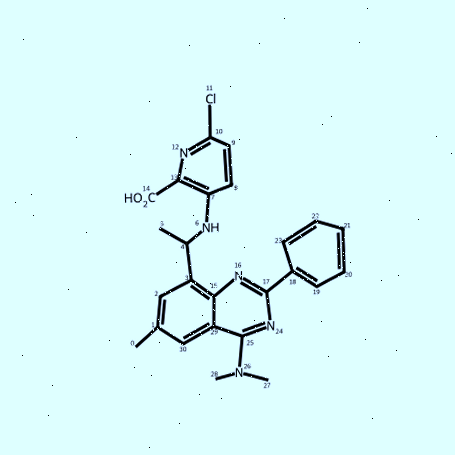 Cc1cc(C(C)Nc2ccc(Cl)nc2C(=O)O)c2nc(-c3ccccc3)nc(N(C)C)c2c1